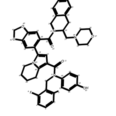 Cc1cccc(F)c1CN(C(=O)c1cc(-c2cc3c(cc2C(=O)N2Cc4ccccc4CC2CN2CCOCC2)OCO3)n2c1CCCC2)c1ccc(O)cc1